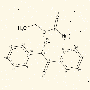 CCOC(N)=O.O=C(c1ccccc1)C(O)c1ccccc1